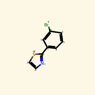 Brc1cccc(-c2n[c]cs2)c1